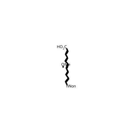 CCCCCCCCC/C=C/C=C/C=C/C=C/C=C/C(=O)O.COC